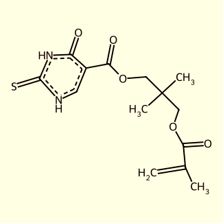 C=C(C)C(=O)OCC(C)(C)COC(=O)c1c[nH]c(=S)[nH]c1=O